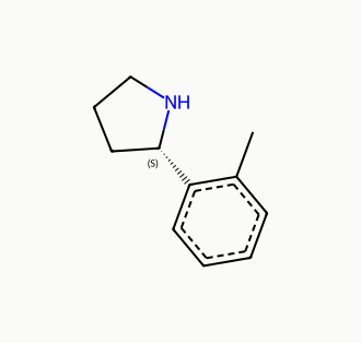 Cc1ccccc1[C@@H]1CCCN1